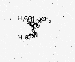 C=CCOC(=O)C1NC(SC(C)=O)CC1CCn1cncc1COC